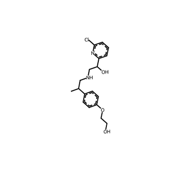 CC(CNCC(O)c1cccc(Cl)n1)c1ccc(OCCO)cc1